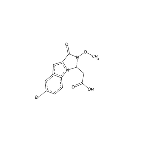 CON1C(=O)c2cc3cc(Br)ccc3n2C1CC(=O)O